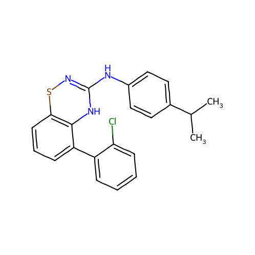 CC(C)c1ccc(NC2=NSc3cccc(-c4ccccc4Cl)c3N2)cc1